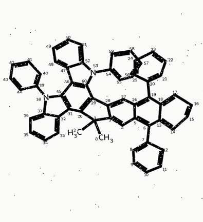 CC1(C)c2cc3c(-c4ccccc4)c4ccccc4c(-c4ccccc4)c3cc2-c2c1c1c3ccccc3n(-c3ccccc3)c1c1c3ccccc3n(-c3ccccc3)c21